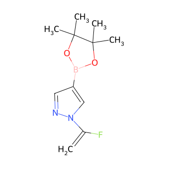 C=C(F)n1cc(B2OC(C)(C)C(C)(C)O2)cn1